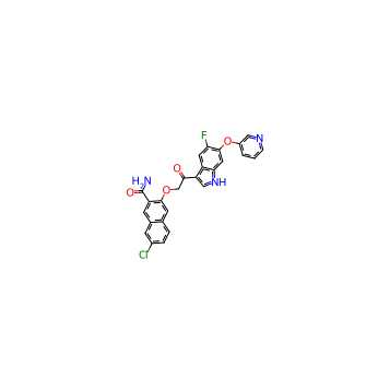 NC(=O)c1cc2cc(Cl)ccc2cc1OCC(=O)c1c[nH]c2cc(Oc3cccnc3)c(F)cc12